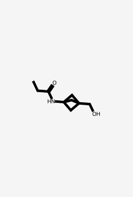 CCC(=O)NC12CC(CO)(C1)C2